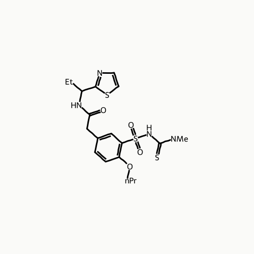 CCCOc1ccc(CC(=O)NC(CC)c2nccs2)cc1S(=O)(=O)NC(=S)NC